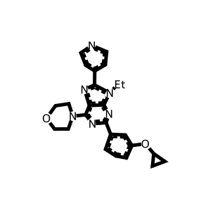 CCn1c(-c2ccncc2)nc2c(N3CCOCC3)nc(-c3cccc(OC4CC4)c3)nc21